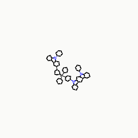 c1ccc(-n2c3ccccc3c3cc(-c4cccc([Si](c5ccccc5)(c5ccccc5)c5ccc(-n6c7ccccc7c7cc8c9ccccc9n(-c9ccccc9)c8cc76)cc5)c4)ccc32)cc1